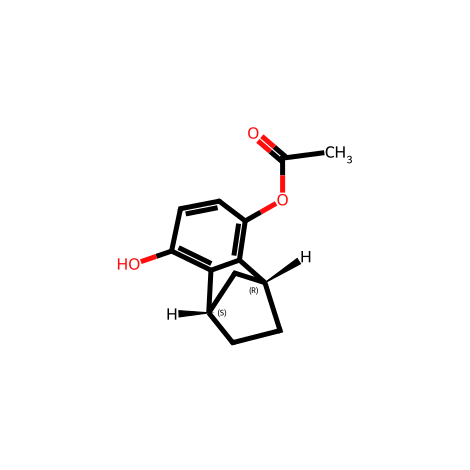 CC(=O)Oc1ccc(O)c2c1[C@@H]1CC[C@H]2C1